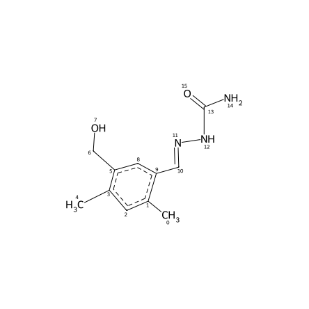 Cc1cc(C)c(CO)cc1/C=N/NC(N)=O